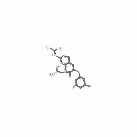 CC(C)Nc1ncc2cc(Oc3cc(F)cc(F)c3)c(=O)n(C[C@H](C)O)c2n1